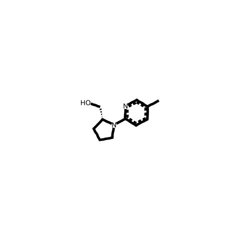 Cc1ccc(N2CCC[C@@H]2CO)nc1